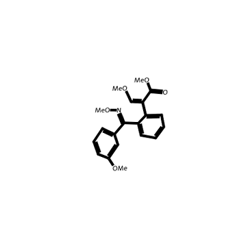 COC=C(C(=O)OC)c1ccccc1C(=NOC)c1cccc(OC)c1